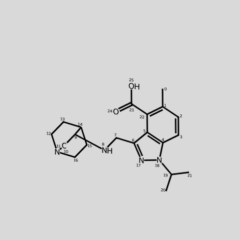 Cc1ccc2c(c(CNC3CN4CCC3CC4)nn2C(C)C)c1C(=O)O